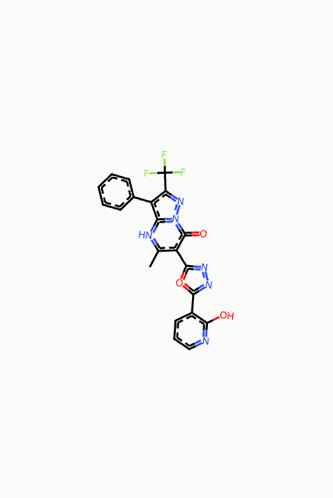 Cc1[nH]c2c(-c3ccccc3)c(C(F)(F)F)nn2c(=O)c1-c1nnc(-c2cccnc2O)o1